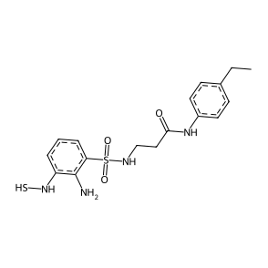 CCc1ccc(NC(=O)CCNS(=O)(=O)c2cccc(NS)c2N)cc1